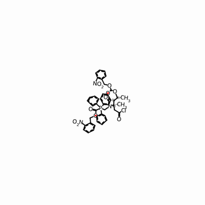 C[C@@H](OC(=O)OCc1ccccc1[N+](=O)[O-])[C@H]1C(=O)N(CP(C(=O)OCc2ccccc2[N+](=O)[O-])(c2ccccc2)(c2ccccc2)c2ccccc2)[C@]1(C)CC(=O)Cl